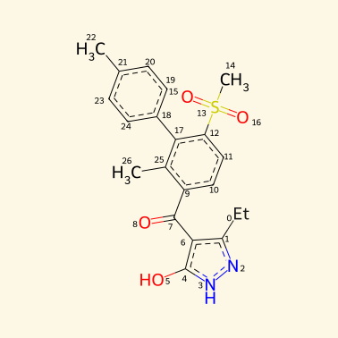 CCc1n[nH]c(O)c1C(=O)c1ccc(S(C)(=O)=O)c(-c2ccc(C)cc2)c1C